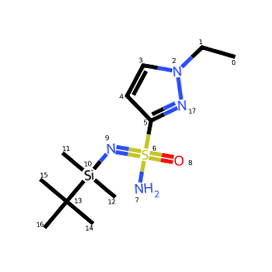 CCn1ccc(S(N)(=O)=N[Si](C)(C)C(C)(C)C)n1